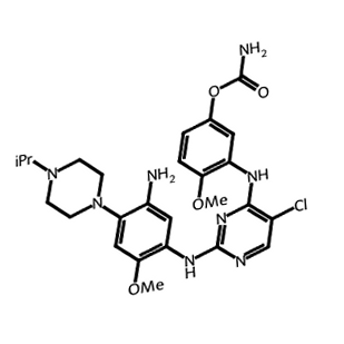 COc1cc(N2CCN(C(C)C)CC2)c(N)cc1Nc1ncc(Cl)c(Nc2cc(OC(N)=O)ccc2OC)n1